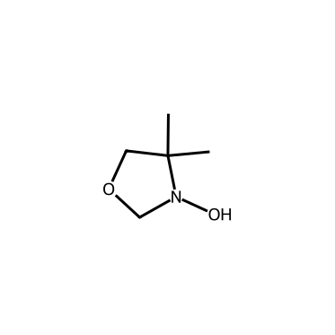 CC1(C)COCN1O